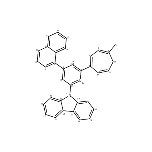 CC1=CC=C(c2nc(-c3cccc4ccccc34)cc(-n3c4ccccc4c4ccccc43)n2)C=CC1